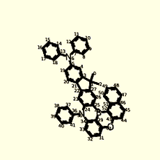 CC1(C)c2cc(N(c3ccccc3)c3ccccc3)ccc2-c2cc3c(cc21)B1c2c(cccc2N3c2ccccc2)Oc2ccc3ccccc3c21